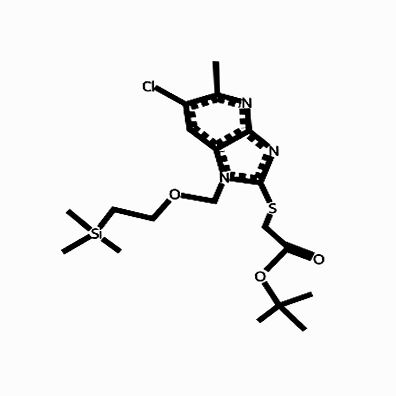 Cc1nc2nc(SCC(=O)OC(C)(C)C)n(COCC[Si](C)(C)C)c2cc1Cl